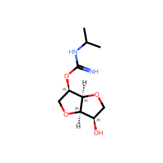 CC(C)NC(=N)O[C@@H]1CO[C@H]2[C@@H]1OC[C@H]2O